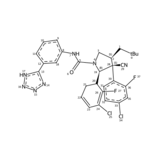 CC(C)(C)C[C@@H]1CN(C(=O)Nc2cccc(-c3nnn[nH]3)c2)[C@H](C2CC=CC(Cl)=C2F)[C@@]1(C#N)c1ccc(Cl)cc1F